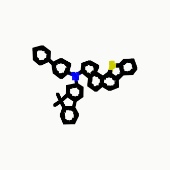 CC1(C)c2ccccc2-c2ccc(N(c3ccc(-c4ccccc4)cc3)c3cccc4c3ccc3ccc5c6ccccc6sc5c34)cc21